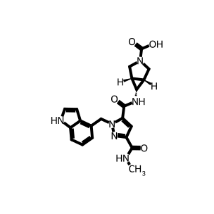 CNC(=O)c1cc(C(=O)N[C@@H]2[C@@H]3CN(C(=O)O)C[C@@H]32)n(Cc2cccc3[nH]ccc23)n1